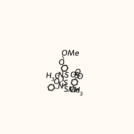 COCCOc1ccc2c(c1)N(C)C(=C1SC(SC)=[N+](Cc3ccccc3)C1=O)S2.Cc1ccc(S(=O)(=O)[O-])cc1